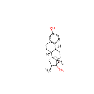 C[C@H]1C[C@]23CC[C@@]1(O)[C@@]2(C)CC[C@@H]1c2ccc(O)cc2CC[C@H]13